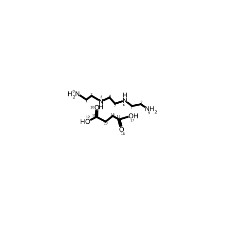 NCCNCCNCCN.O=C(O)CCC(=O)O